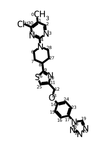 Cc1cnc(N2CCC(c3nc(COc4ccc(-n5cnnn5)cc4)cs3)CC2)nc1Cl